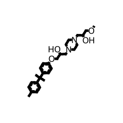 COCC(O)CN1CCN(CC(O)COc2ccc(C(C)(C)c3ccc(C)cc3)cc2)CC1